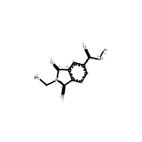 CC(C)CN1C(=O)c2ccc(C(=O)NC(C)C)cc2C1=O